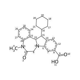 CN1C(=O)CN2c3cc(C(=O)O)ccc3C(C3CCCCC3)C2c2ccccc21